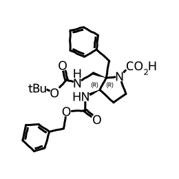 CC(C)(C)OC(=O)NC[C@]1(Cc2ccccc2)[C@H](NC(=O)OCc2ccccc2)CCN1C(=O)O